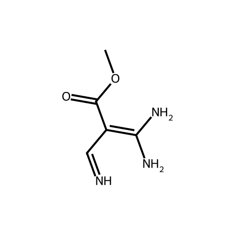 COC(=O)C(C=N)=C(N)N